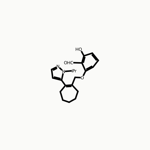 CC(C)n1nccc1C1=C(COc2cccc(O)c2C=O)CCCCC1